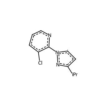 CC(C)c1c[c]n(-c2ncccc2Cl)n1